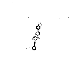 O=S(=O)(CC(C#Cc1ccccc1)NO)N1CCN(c2ccc(C(F)(F)F)cc2)CC1